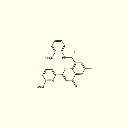 COc1cccc(-c2cc(=O)c3cc(C)cc([C@@H](C)Nc4ccccc4C(=O)O)c3o2)n1